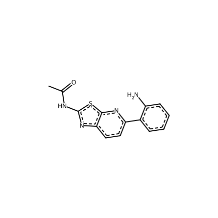 CC(=O)Nc1nc2ccc(-c3ccccc3N)nc2s1